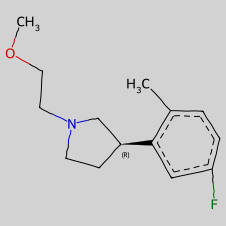 COCCN1CC[C@H](c2cc(F)ccc2C)C1